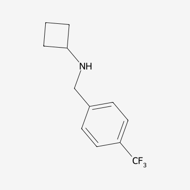 FC(F)(F)c1ccc(CNC2CCC2)cc1